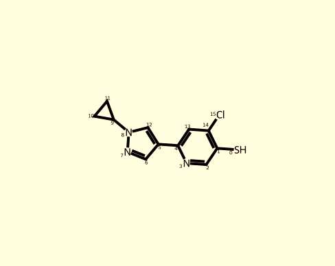 Sc1cnc(-c2cnn(C3CC3)c2)cc1Cl